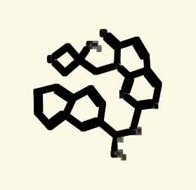 C[C@H](Nc1ncc2ccc(=O)n(CC3(C)COC3)c2n1)c1ccc2ccccc2c1